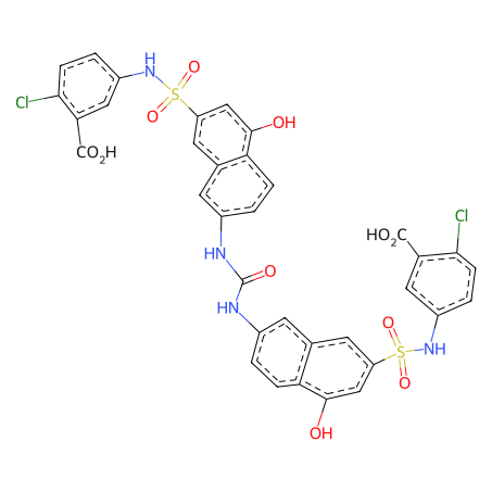 O=C(Nc1ccc2c(O)cc(S(=O)(=O)Nc3ccc(Cl)c(C(=O)O)c3)cc2c1)Nc1ccc2c(O)cc(S(=O)(=O)Nc3ccc(Cl)c(C(=O)O)c3)cc2c1